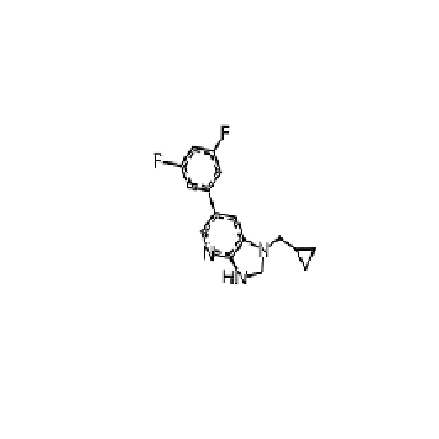 Fc1cc(F)cc(-c2cnc3c(c2)N(CC2CC2)CN3)c1